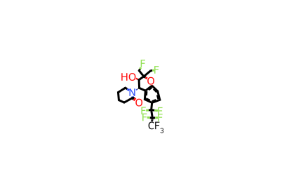 O=C1CCCCN1[C@H]1c2cc(C(F)(F)C(F)(F)C(F)(F)F)ccc2OC(CF)(CF)[C@@H]1O